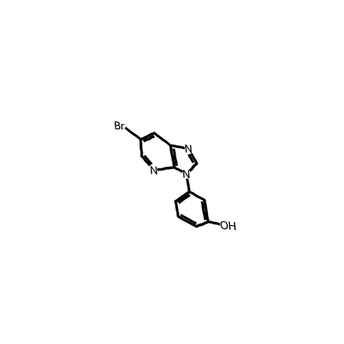 Oc1cccc(-n2cnc3cc(Br)cnc32)c1